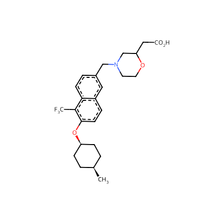 C[C@H]1CC[C@@H](Oc2ccc3cc(CN4CCOC(CC(=O)O)C4)ccc3c2C(F)(F)F)CC1